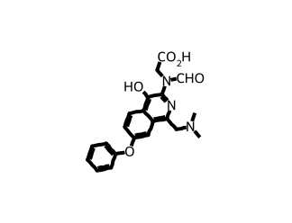 CN(C)Cc1nc(N(C=O)CC(=O)O)c(O)c2ccc(Oc3ccccc3)cc12